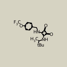 CC(Nc1c(NCc2ccc(OC(F)(F)F)cc2)c(=O)c1=O)C(C)(C)C